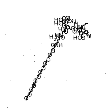 CCCCc1nc2c(NC(=O)OCc3ccc(O[C@@H]4O[C@H](C(=O)O)[C@@H](O)[C@H](O)[C@H]4O)c(NC(=O)CCNC(=O)[C@@H](N)CCCCNC(=O)CCOCCOCCOCCOCCOCCOCCOCCOCCOCCOCCOCCOC)c3)nc3cc(C(=O)O)ccc3c2n1Cc1ccc(CN(C)C)cc1